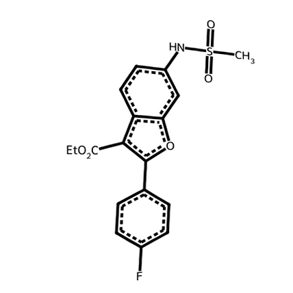 CCOC(=O)c1c(-c2ccc(F)cc2)oc2cc(NS(C)(=O)=O)ccc12